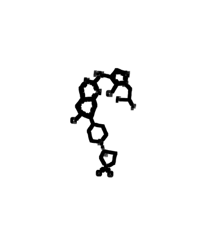 O=S1(=O)CC[C@@H](N2CCC(c3cc4nc(Nc5cnn(CC(F)F)c5Cl)ncc4cc3Cl)CC2)C1